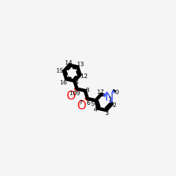 CN1C=CC=C(C(=O)CC(=O)c2ccccc2)C1